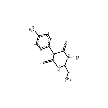 CCC1NC(=O)N(c2ccc(C)cc2)C(=O)N1O